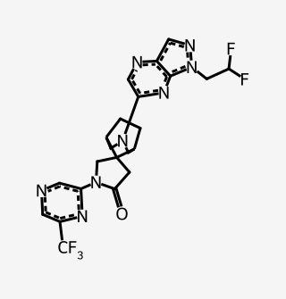 O=C1CC2(CN1c1cncc(C(F)(F)F)n1)C1CCC2CN(c2cnc3cnn(CC(F)F)c3n2)C1